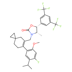 COc1cc(F)c(C(C)C)cc1C1=C(CN2C(=O)O[C@H](c3cc(C(F)(F)F)cc(C(F)(F)F)c3)[C@@H]2C)CC2(CC1)CC2